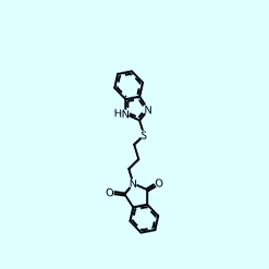 O=C1c2ccccc2C(=O)N1CCCSc1nc2ccccc2[nH]1